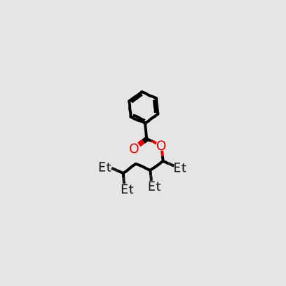 CCC(CC)CC(CC)C(CC)OC(=O)c1ccccc1